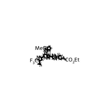 CCOC(=O)CCN1CCN(c2cnc(-c3nc4nc(-c5cnc(C(F)(F)F)c(C6CC6)c5)cc(N(C)CC5(COC)CCCC5)c4[nH]3)cn2)[C@H](C)C1